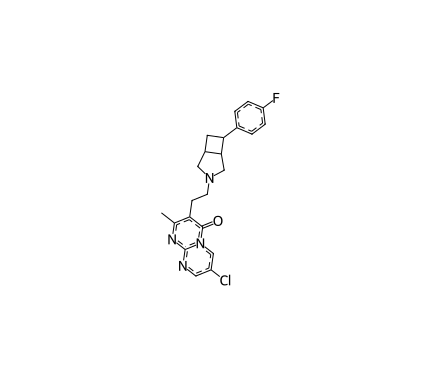 Cc1nc2ncc(Cl)cn2c(=O)c1CCN1CC2CC(c3ccc(F)cc3)C2C1